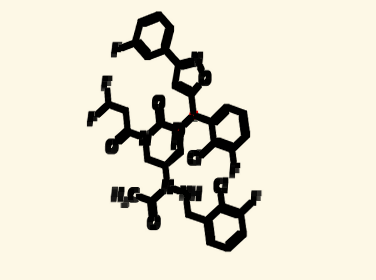 CC(=O)N(NCc1cccc(F)c1Cl)[C@H](CO[C]c1cc(-c2cccc(F)c2)no1)CN(C(=O)CC(F)F)C(=O)NCc1cccc(F)c1Cl